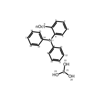 CCCCCCCCc1ccccc1N(c1ccccc1)c1ccccc1.OB(O)O